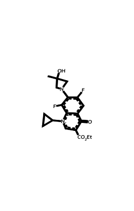 CCOC(=O)c1cn(C2CC2)c2c(F)c(N3CC(C)(O)C3)c(F)cc2c1=O